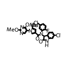 CCC(C)c1cc(C(=O)N(c2cc(Cl)ccc2F)C2C(=O)Nc3cc(Cl)ccc32)cn1-c1cnc(OC)nc1OC